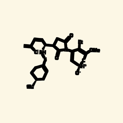 C=C(Cl)/C=C\[C@@H](NSC1=CC[C@H](C(C)(C)C)CC1)C1CC(=O)N(C2=C[N@H+]([O-])CC(OC)=C2CC)C1=O